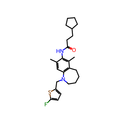 Cc1cc2c(c(C)c1NC(=O)CCC1CCCC1)CCCCN2Cc1ccc(F)s1